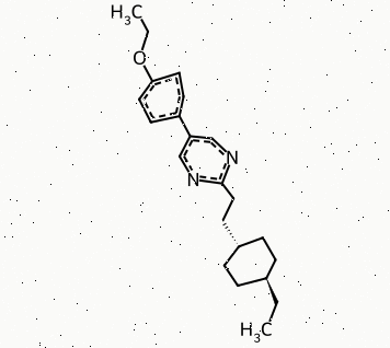 CCOc1ccc(-c2cnc(CC[C@H]3CC[C@H](CC)CC3)nc2)cc1